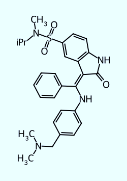 CC(C)N(C)S(=O)(=O)c1ccc2c(c1)/C(=C(/Nc1ccc(CN(C)C)cc1)c1ccccc1)C(=O)N2